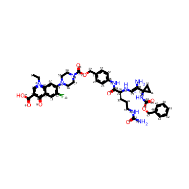 CCn1cc(C(=O)O)c(=O)c2cc(F)c(N3CCN(C(=O)OCc4ccc(NC(=O)[C@H](CCCNC(N)=O)N/C=C(\N)C5(NC(=O)OCc6ccccc6)CC5)cc4)CC3)cc21